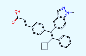 Cn1ncc2cc(C(=C(c3ccccc3)C3CCC3)c3ccc(C=CC(=O)O)cc3)ccc21